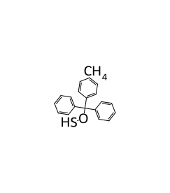 C.SOC(c1ccccc1)(c1ccccc1)c1ccccc1